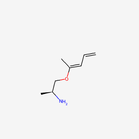 C=C/C=C(\C)OC[C@H](C)N